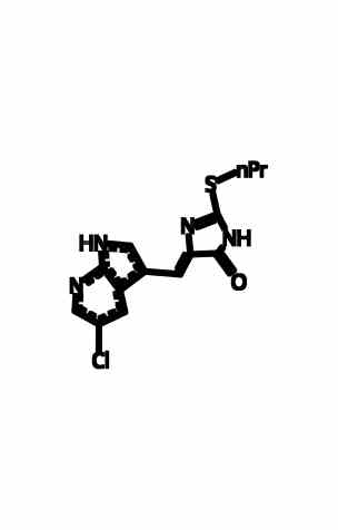 CCCSC1=NC(=Cc2c[nH]c3ncc(Cl)cc23)C(=O)N1